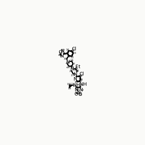 CC[C@H]1CN(c2ncc(NC3=NS(=O)(=O)N=C3NC3CC3)cc2Cl)CCN1C1CCN(Cc2ccc(Cl)cc2-c2ncon2)CC1